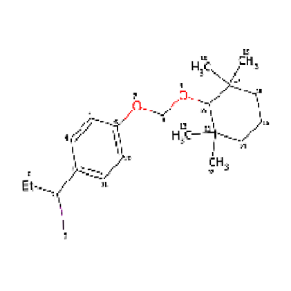 CCC(I)c1ccc(OCOC2C(C)(C)CCCC2(C)C)cc1